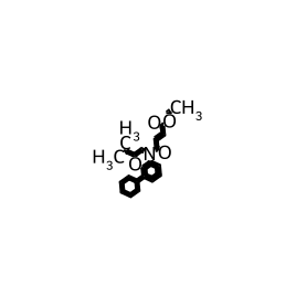 CCOC(=O)C=CC(=O)N1CC(C(C)C)Oc2c(C3CCCCC3)cccc21